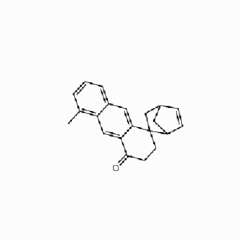 Cc1cccc2cc3c(cc12)C(=O)CCC31CC2C=CC1C2